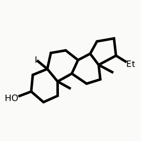 CCC1CCC2C3CCC4(I)CC(O)CCC4(C)C3CCC12C